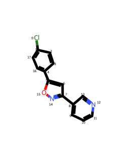 Clc1ccc(-c2cc(-c3cccnc3)no2)cc1